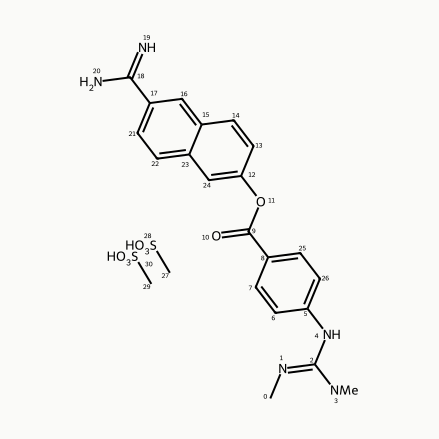 CN=C(NC)Nc1ccc(C(=O)Oc2ccc3cc(C(=N)N)ccc3c2)cc1.CS(=O)(=O)O.CS(=O)(=O)O